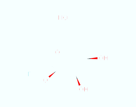 OC[C@H]1O[C@H](OF)[C@H](O)[C@@H]1O